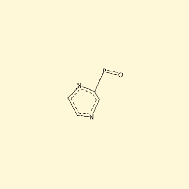 O=Pc1cnccn1